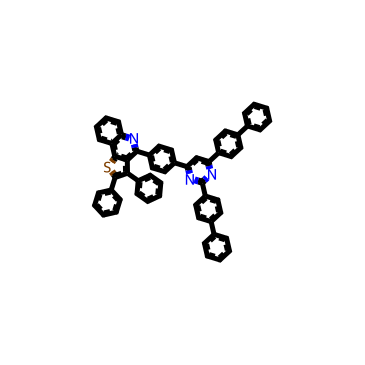 c1ccc(-c2ccc(-c3cc(-c4ccc(-c5nc6ccccc6c6sc(-c7ccccc7)c(-c7ccccc7)c56)cc4)nc(-c4ccc(-c5ccccc5)cc4)n3)cc2)cc1